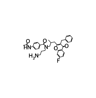 CC(=O)Nc1ccc(C(=O)N(CCCN)CC(C)Cc2oc3cc(F)ccc3c(=O)c2Cc2ccccc2)cc1